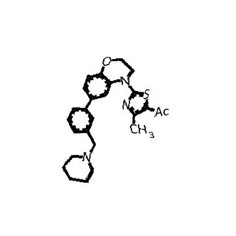 CC(=O)c1sc(N2CCOc3ccc(-c4cccc(CN5CCCCC5)c4)cc32)nc1C